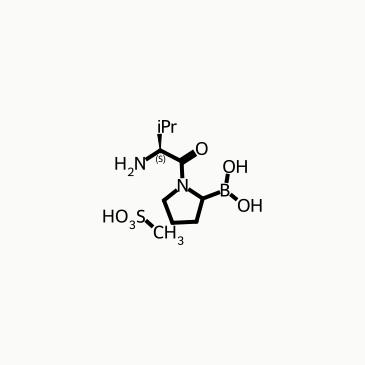 CC(C)[C@H](N)C(=O)N1CCCC1B(O)O.CS(=O)(=O)O